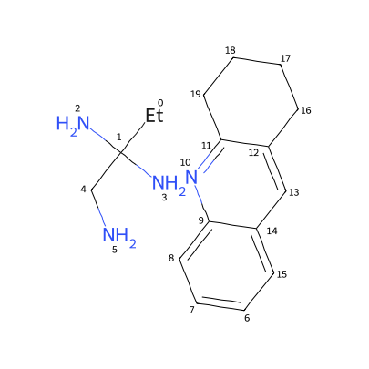 CCC(N)(N)CN.c1ccc2nc3c(cc2c1)CCCC3